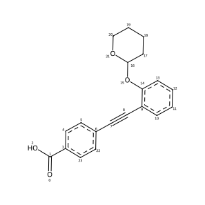 O=C(O)c1ccc(C#Cc2ccccc2OC2CCCCO2)cc1